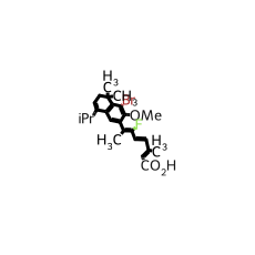 COc1c(C(C)=C(F)C=CC(C)=CC(=O)O)cc2c(c1Br)C(C)(C)CC=C2C(C)C